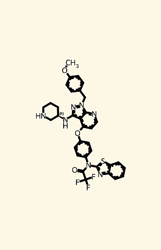 COc1ccc(Cn2nc(N[C@@H]3CCCNC3)c3c(Oc4ccc(N(C(=O)C(F)(F)F)c5nc6ccccc6s5)cc4)ccnc32)cc1